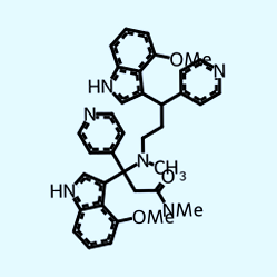 CNC(=O)CC(c1ccncc1)(c1c[nH]c2cccc(OC)c12)N(C)CCC(c1ccncc1)c1c[nH]c2cccc(OC)c12